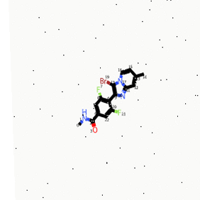 CNC(=O)c1cc(F)c(-c2nc3cc(C)ccn3c2Br)c(F)c1